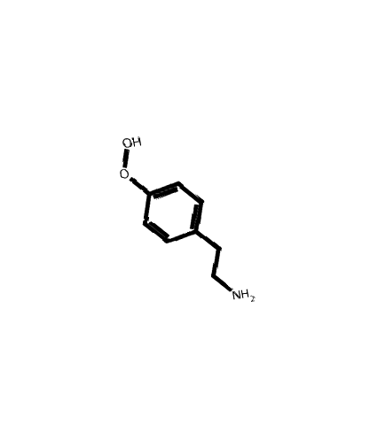 NCCc1ccc(OO)cc1